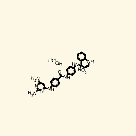 Cl.Cl.Nc1cc(Nc2ccc(C(=O)Nc3ccc(NC4([N+](=O)[O-])C=CNc5ccccc54)cc3)cc2)nc(N)n1